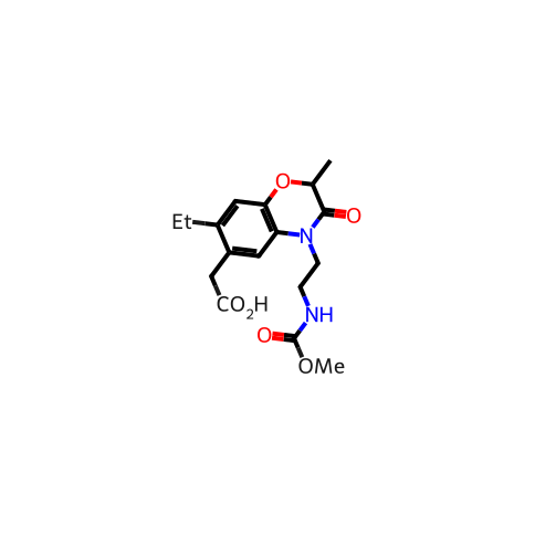 CCc1cc2c(cc1CC(=O)O)N(CCNC(=O)OC)C(=O)C(C)O2